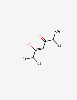 CCCC(CC)C(=O)/C=C(\O)C(CC)CC